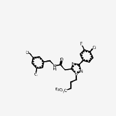 CCOC(=O)CCCn1nc(-c2ccc(Cl)c(F)c2)nc1CC(=O)NCc1cc(Cl)cc(Cl)c1